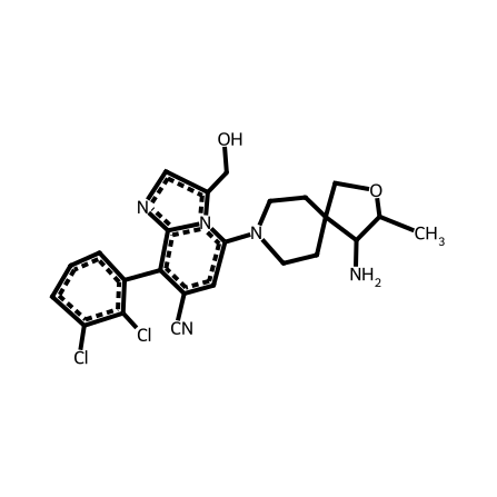 CC1OCC2(CCN(c3cc(C#N)c(-c4cccc(Cl)c4Cl)c4ncc(CO)n34)CC2)C1N